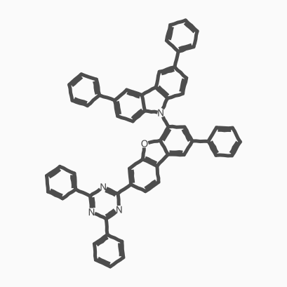 c1ccc(-c2cc(-n3c4ccc(-c5ccccc5)cc4c4cc(-c5ccccc5)ccc43)c3oc4cc(-c5nc(-c6ccccc6)nc(-c6ccccc6)n5)ccc4c3c2)cc1